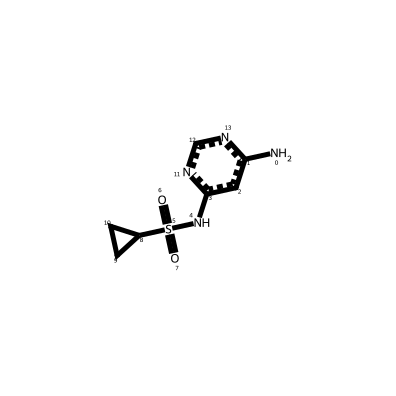 Nc1cc(NS(=O)(=O)C2CC2)ncn1